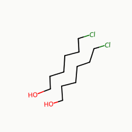 OCCCCCCCl.OCCCCCCCl